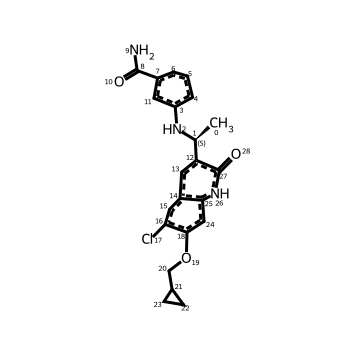 C[C@H](Nc1cccc(C(N)=O)c1)c1cc2cc(Cl)c(OCC3CC3)cc2[nH]c1=O